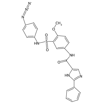 COc1ccc(NC(=O)c2cnc(-c3ccccc3)[nH]2)cc1S(=O)(=O)Nc1ccc(N=[N+]=[N-])cc1